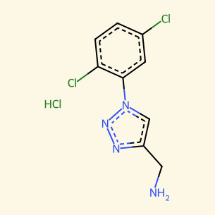 Cl.NCc1cn(-c2cc(Cl)ccc2Cl)nn1